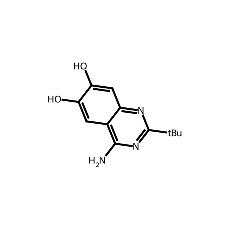 CC(C)(C)c1nc(N)c2cc(O)c(O)cc2n1